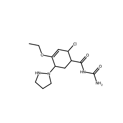 CCOC1=CC(Cl)C(C(=O)NC(N)=O)CC1N1CCCN1